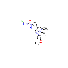 COc1ccc(N2CCc3c(-c4cccc(NC(=O)NCCCl)c4)cc(C)nc32)c(C)c1